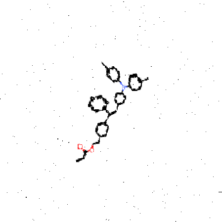 C=CC(=O)OCCc1ccc(C(=Cc2ccc(N(c3ccc(C)cc3)c3ccc(C)cc3)cc2)c2ccccc2)cc1